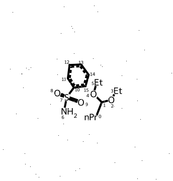 CCCC(OCC)OCC.NS(=O)(=O)c1ccccc1